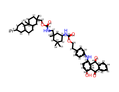 CC(C)C1CCC2C(CCC3CC(C)(COC(=O)NCC4(C)CC(NC(=O)OCCc5ccc(Nc6ccc(O)c7c6C(=O)c6ccccc6C7=O)cc5)CC(C)(C)C4)CCC32C)C1